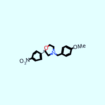 COc1ccc(CN2CCO[C@@H](c3ccc([N+](=O)[O-])cc3)C2)cc1